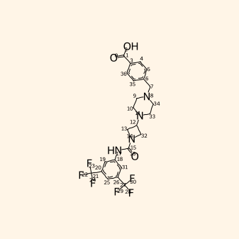 O=C(O)c1ccc(CN2CCN(C3CN(C(=O)Nc4cc(C(F)(F)F)cc(C(F)(F)F)c4)C3)CC2)cc1